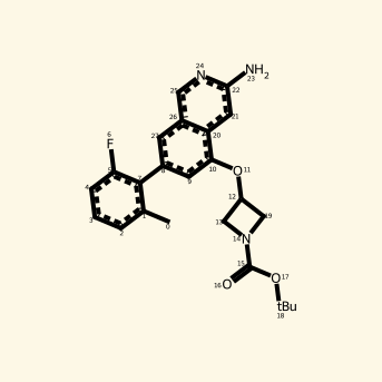 Cc1cccc(F)c1-c1cc(OC2CN(C(=O)OC(C)(C)C)C2)c2cc(N)ncc2c1